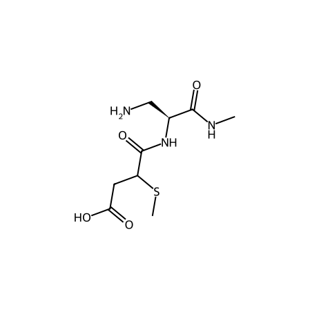 CNC(=O)[C@H](CN)NC(=O)C(CC(=O)O)SC